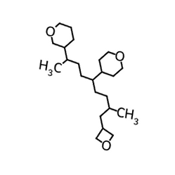 CC(CCC(CCC(C)C1CCCOC1)C1CCOCC1)CC1COC1